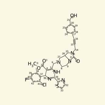 COC(=O)C1=C(CN2CCN3C(=O)N(CC#Cc4ccc(CO)cc4)CC3C2)NC(c2nccs2)=NC1c1ccc(F)cc1Cl